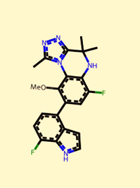 COc1c(-c2ccc(F)c3[nH]ccc23)cc(F)c2c1-n1c(C)nnc1C(C)(C)N2